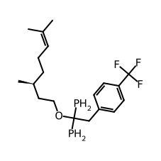 CC(C)=CCC[C@H](C)CCOC(P)(P)Cc1ccc(C(F)(F)F)cc1